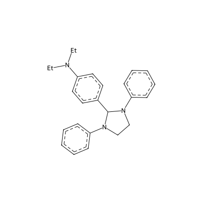 CCN(CC)c1ccc(C2N(c3ccccc3)CCN2c2ccccc2)cc1